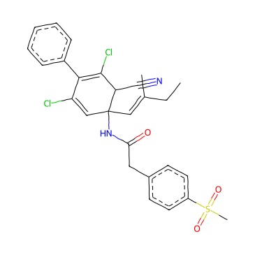 CCC(C)=CC1(NC(=O)Cc2ccc(S(C)(=O)=O)cc2)C=C(Cl)C(c2ccccc2)=C(Cl)C1C#N